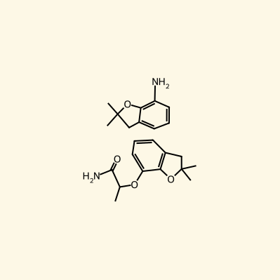 CC(Oc1cccc2c1OC(C)(C)C2)C(N)=O.CC1(C)Cc2cccc(N)c2O1